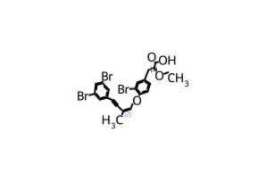 CCO[C@@H](Cc1ccc(OC/C=C(/C)C#Cc2cc(Br)cc(Br)c2)c(Br)c1)C(=O)O